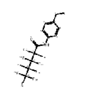 CCc1ccc(NC(=O)C(F)(F)C(F)(F)C(F)(F)C(F)(F)F)cc1